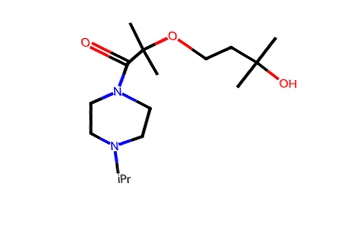 CC(C)N1CCN(C(=O)C(C)(C)OCCC(C)(C)O)CC1